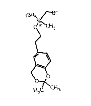 CC1(C)OCc2cc(CCO[Si@@](C)(CBr)C(C)(C)C)ccc2O1